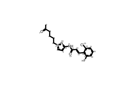 CC(=O)CCCCn1ccc(NC(=O)C=Cc2c(F)cccc2Cl)n1